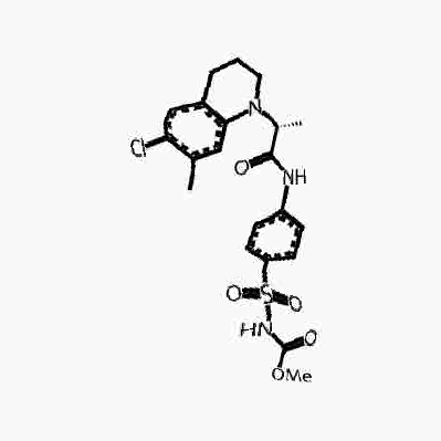 COC(=O)NS(=O)(=O)c1ccc(NC(=O)[C@@H](C)N2CCCc3cc(Cl)c(C)cc32)cc1